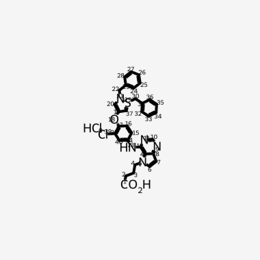 Cl.O=C(O)CCCn1ccc2ncnc(Nc3ccc(OC4=CN(Cc5ccccc5)S(Cc5ccccc5)=C4)c(Cl)c3)c21